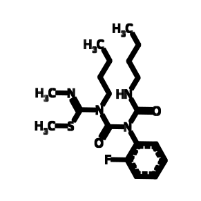 CCCCNC(=O)N(C(=O)N(CCCC)C(=NC)SC)c1ccccc1F